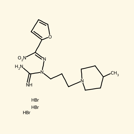 Br.Br.Br.CC1CCN(CCCN(/N=C(/c2ccco2)[N+](=O)[O-])C(=N)N)CC1